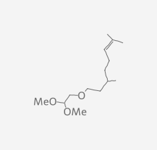 COC(COCCC(C)CCC=C(C)C)OC